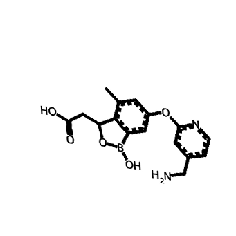 Cc1cc(Oc2cc(CN)ccn2)cc2c1C(CC(=O)O)OB2O